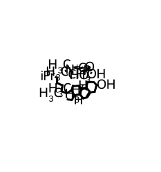 CC(C)CCC[C@@H](C)[C@H]1CC[C@H]2[C@@H]3CC=C4C[C@@H](O)CC[C@]4(C)[C@H]3CC[C@]12C.C[N+](C)(C)CCOP(=O)(O)O